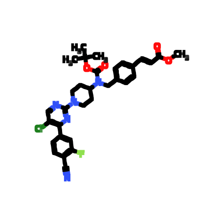 COC(=O)/C=C/c1ccc(CN(C(=O)OC(C)(C)C)C2CCN(c3ncc(Cl)c(-c4ccc(C#N)c(F)c4)n3)CC2)cc1